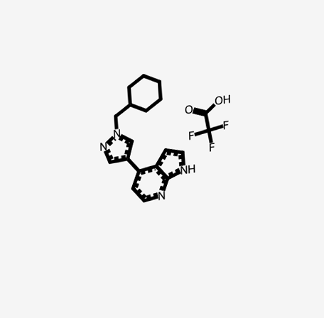 O=C(O)C(F)(F)F.c1cc(-c2cnn(CC3CCCCC3)c2)c2cc[nH]c2n1